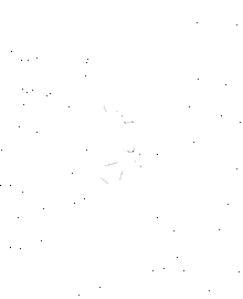 CC(C)c1cc(F)c2c(C3CCC(=O)NC3=O)n[nH]c2c1